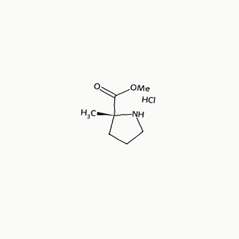 COC(=O)[C@@]1(C)CCCN1.Cl